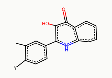 Cc1cc(-c2[nH]c3ccccc3c(=O)c2O)cc[c]1[Y]